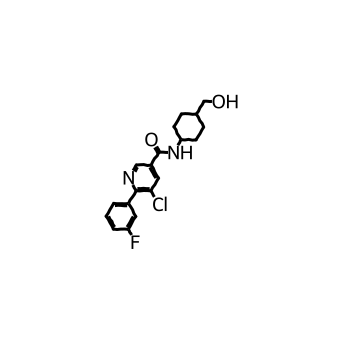 O=C(NC1CCC(CO)CC1)c1cnc(-c2cccc(F)c2)c(Cl)c1